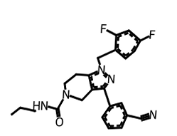 CCCNC(=O)N1CCc2c(c(-c3cccc(C#N)c3)nn2Cc2ccc(F)cc2F)C1